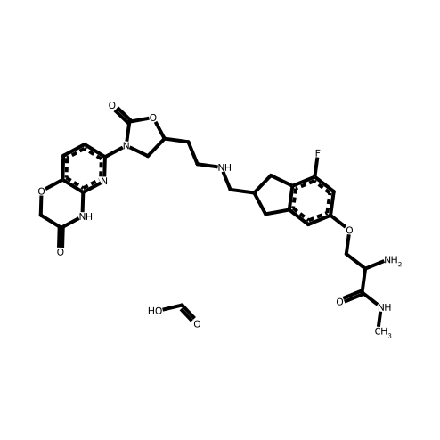 CNC(=O)C(N)COc1cc(F)c2c(c1)CC(CNCCC1CN(c3ccc4c(n3)NC(=O)CO4)C(=O)O1)C2.O=CO